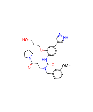 COc1cccc(CN(CCC(=O)N2CCCC2)C(=O)Nc2ccc(-c3cn[nH]c3)cc2OCCCO)c1